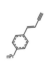 C#CC=Cc1ccc(CCC)cc1